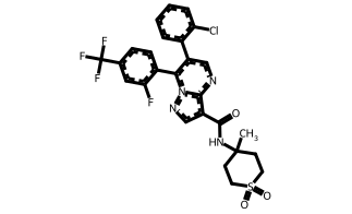 CC1(NC(=O)c2cnn3c(-c4ccc(C(F)(F)F)cc4F)c(-c4ccccc4Cl)cnc23)CCS(=O)(=O)CC1